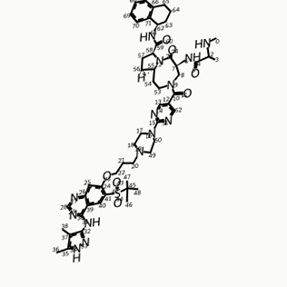 CNC(C)C(=O)N[C@H]1CN(C(=O)c2cnc(N3CCN(CCCOc4cc5ncnc(Nc6n[nH]c(C)c6C)c5cc4S(=O)(=O)C(C)(C)C)CC3)nc2)CC[C@H]2CC[C@@H](C(=O)N[C@@H]3CCCc4ccccc43)N2C1=O